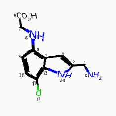 NCc1cc2c(NCC(=O)O)ccc(Cl)c2[nH]1